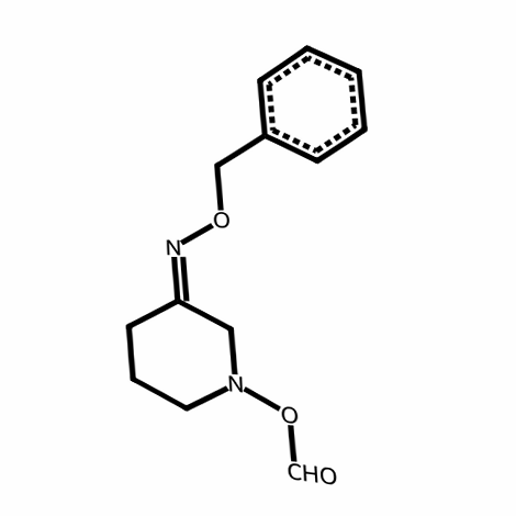 O=CON1CCCC(=NOCc2ccccc2)C1